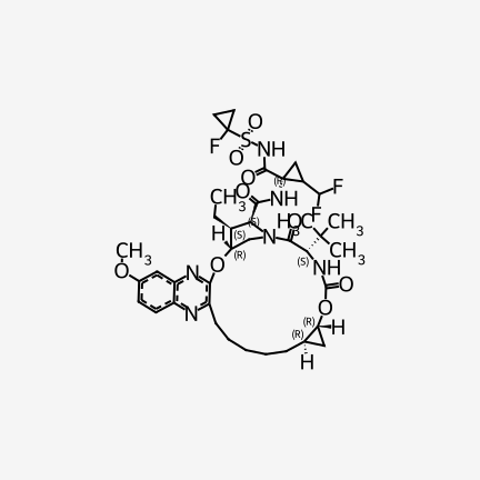 CC[C@@H]1[C@@H]2CN(C(=O)[C@H](C(C)(C)C)NC(=O)O[C@@H]3C[C@H]3CCCCCc3nc4ccc(OC)cc4nc3O2)[C@@H]1C(=O)N[C@]1(C(=O)NS(=O)(=O)C2(F)CC2)CC1C(F)F